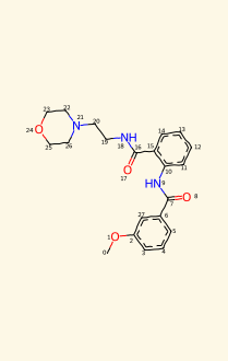 COc1cccc(C(=O)Nc2ccccc2C(=O)NCCN2CCOCC2)c1